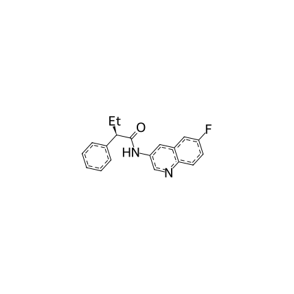 [CH2]C[C@@H](C(=O)Nc1cnc2ccc(F)cc2c1)c1ccccc1